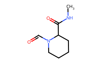 CNC(=O)C1CCCCN1[C]=O